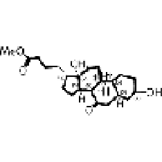 COC(=O)CCC[C@H]1CC[C@H]2[C@@H]3C(=O)C[C@@H]4C[C@H](O)CC[C@]4(C)[C@H]3CC[C@]12C